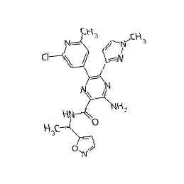 Cc1cc(-c2nc(C(=O)NC(C)c3ccno3)c(N)nc2-c2ccn(C)n2)cc(Cl)n1